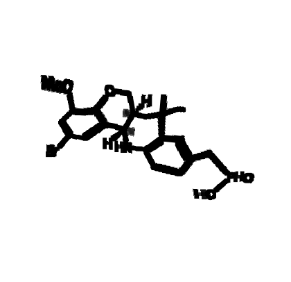 COc1cc(Br)cc2c1OC[C@@H]1[C@@H]2Nc2ccc(C[PH](=O)O)cc2C1(C)C